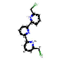 BrCc1cccc(-c2cccc(-c3cccc(CBr)n3)n2)n1